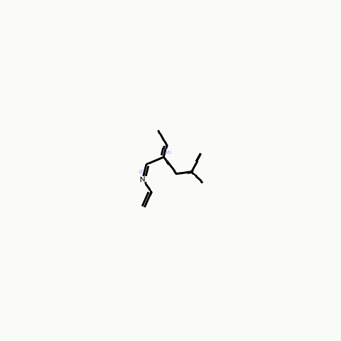 C=C/N=C\C(=C/C)CC(C)C